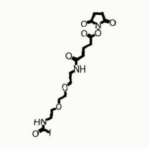 O=C(I)NCCOCCOCCNC(=O)CCCC(=O)ON1C(=O)CCC1=O